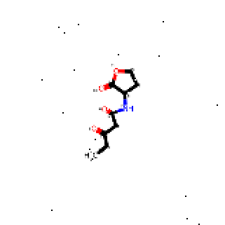 CCC(=O)CC(=O)NC1CCOC1=O